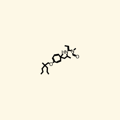 C/C=C(\NC(C)CC1(C)C=CC=C(OCC(C)(CCC)CCC)C=C1)N(C)C=O